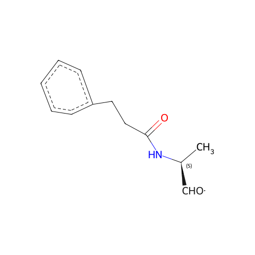 C[C@@H]([C]=O)NC(=O)CCc1ccccc1